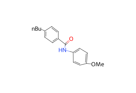 CCCCc1ccc(C(=O)Nc2ccc(OC)cc2)cc1